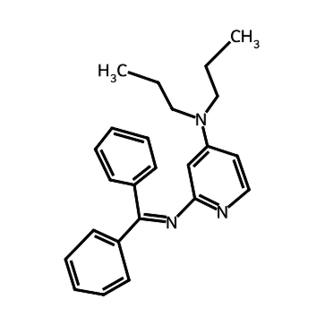 CCCN(CCC)c1ccnc(N=C(c2ccccc2)c2ccccc2)c1